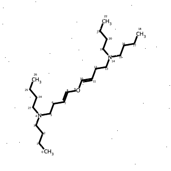 CCCCN(CCC=COC=CCCN(CCCC)CCCC)CCCC